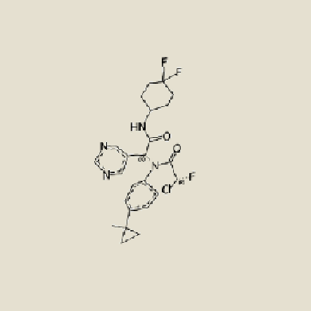 CC1(c2ccc(N(C(=O)[C@H](F)Cl)[C@@H](C(=O)NC3CCC(F)(F)CC3)c3cncnc3)cc2)CC1